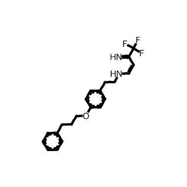 N=C(/C=C\NCCc1ccc(OCCCc2ccccc2)cc1)C(F)(F)F